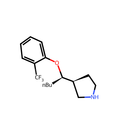 CCCC[C@@H](Oc1ccccc1C(F)(F)F)[C@H]1CCNC1